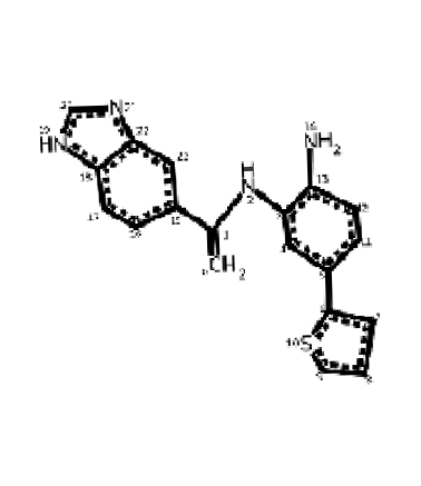 C=C(Nc1cc(-c2cccs2)ccc1N)c1ccc2[nH]cnc2c1